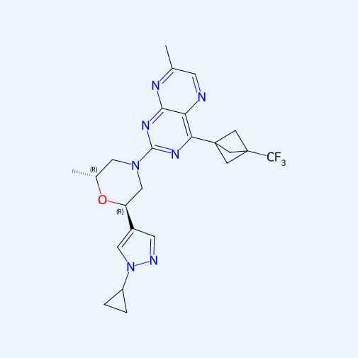 Cc1cnc2c(C34CC(C(F)(F)F)(C3)C4)nc(N3C[C@@H](C)O[C@H](c4cnn(C5CC5)c4)C3)nc2n1